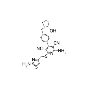 N#Cc1c(N)nc(SCc2csc(N)n2)c(C#N)c1-c1ccc(C[C@H]2CCC[C@@H]2O)cc1